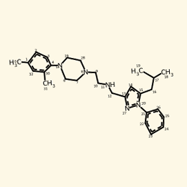 Cc1ccc(N2CCN(CCNCc3cc(CC(C)C)n(-c4ccccc4)n3)CC2)c(C)c1